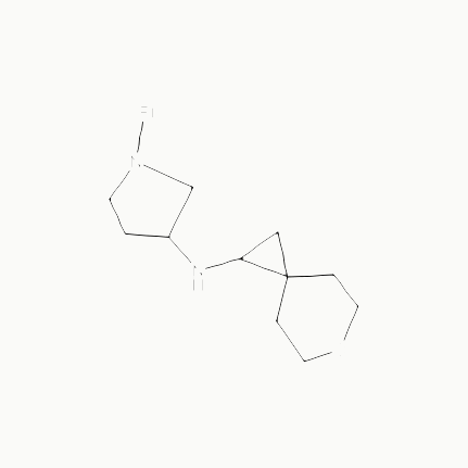 CCN1CCC(NC2CC23CCOCC3)C1